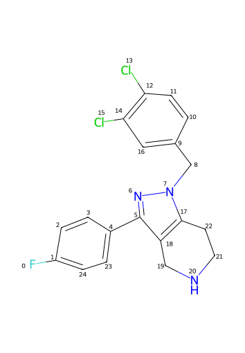 Fc1ccc(-c2nn(Cc3ccc(Cl)c(Cl)c3)c3c2CNCC3)cc1